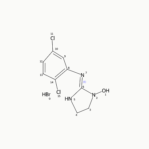 Br.ON1CCN/C1=N\c1cc(Cl)ccc1Cl